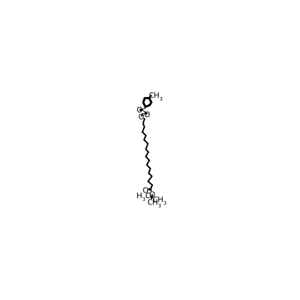 Cc1ccc(S(=O)(=O)OCCCCCCCCCCCCCCCCCC(=O)OC(C)(C)C)cc1